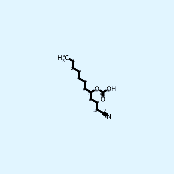 CCCCCCCC(CCCC#N)OC(=O)O